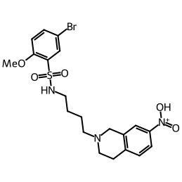 COc1ccc(Br)cc1S(=O)(=O)NCCCCN1CCc2ccc([N+](=O)O)cc2C1